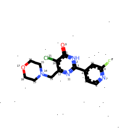 O=c1[nH]c(-c2ccnc(F)c2)nc(CN2CCOCC2)c1Cl